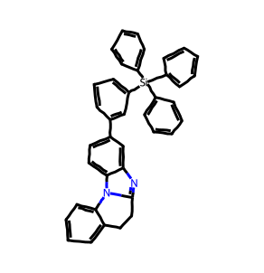 c1ccc([Si](c2ccccc2)(c2ccccc2)c2cccc(-c3ccc4c(c3)nc3n4-c4ccccc4CC3)c2)cc1